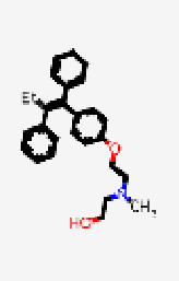 CC/C(=C(\C1=CCCC=C1)c1ccc(OCCN(C)CCO)cc1)c1ccccc1